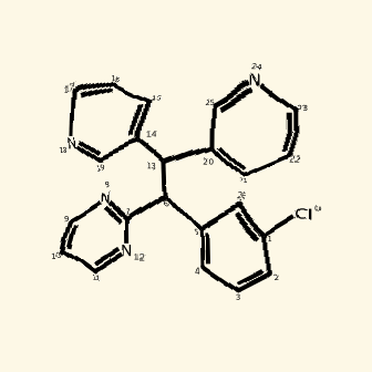 Clc1cccc(C(c2ncccn2)C(c2cccnc2)c2cccnc2)c1